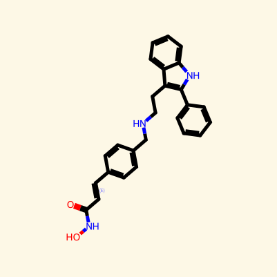 O=C(/C=C/c1ccc(CNCCc2c(-c3ccccc3)[nH]c3ccccc23)cc1)NO